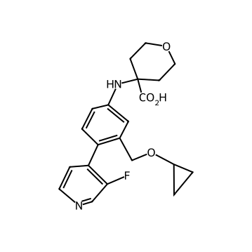 O=C(O)C1(Nc2ccc(-c3ccncc3F)c(COC3CC3)c2)CCOCC1